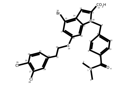 CN(C)C(=O)c1ccc(Cn2c(C(=O)O)cc3c(Br)cc(SCCc4ccc(Cl)c(Cl)c4)cc32)cc1